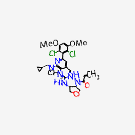 C=CC(=O)N[C@H]1COC[C@H]1Nc1ncc2cc(-c3c(Cl)c(OC)cc(OC)c3Cl)nc(N(C)CC3CC3)c2n1